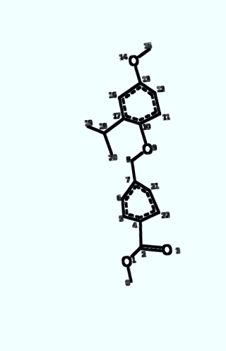 COC(=O)c1ccc(COc2ccc(OC)cc2C(C)C)cc1